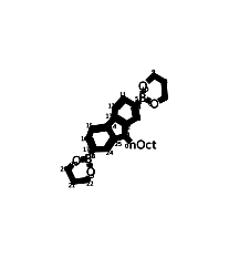 CCCCCCCCC1c2cc(B3OCCCO3)ccc2-c2ccc(B3OCCCO3)cc21